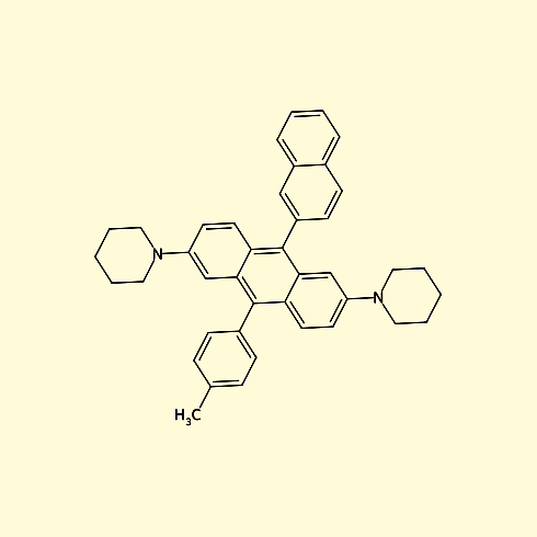 Cc1ccc(-c2c3ccc(N4CCCCC4)cc3c(-c3ccc4ccccc4c3)c3ccc(N4CCCCC4)cc23)cc1